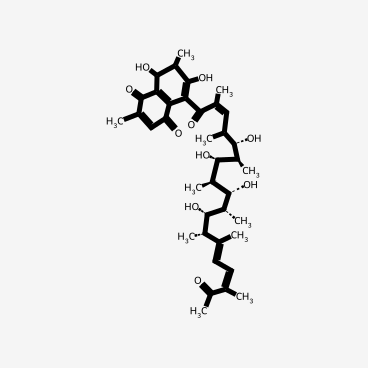 CC(=O)/C(C)=C\C=C(/C)[C@H](C)[C@H](O)[C@@H](C)[C@@H](O)[C@@H](C)[C@H](O)[C@H](C)[C@@H](O)C(C)/C=C(/C)C(=O)C1=C(O)C(C)C(O)C2=C1C(=O)C=C(C)C2=O